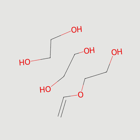 C=COCCO.OCCO.OCCO